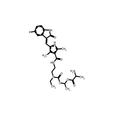 CCN(CCNC(=O)c1c(C)[nH]c(/C=C2\C(=O)Nc3ccc(F)cc32)c1C)C(=O)OC(C)OC(=O)C(C)N